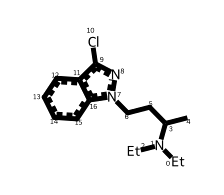 CCN(CC)C(C)CCn1nc(Cl)c2ccccc21